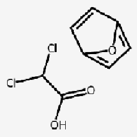 O=C(O)C(Cl)Cl.c1cc2ccc1o2